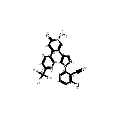 Cn1cc(-c2cnn(-c3cccc(Cl)c3C#N)c2)c(-c2ccc(C(F)(F)F)nc2)cc1=O